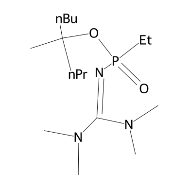 CCCCC(C)(CCC)OP(=O)(CC)N=C(N(C)C)N(C)C